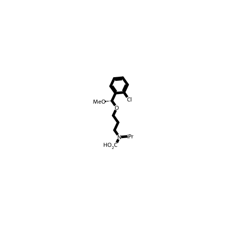 CO[C@@H](OCCCN(C(=O)O)C(C)C)c1ccccc1Cl